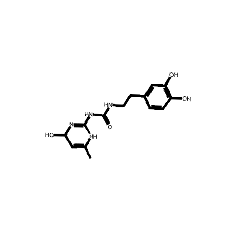 CC1=CC(O)N=C(NC(=O)NCCc2ccc(O)c(O)c2)N1